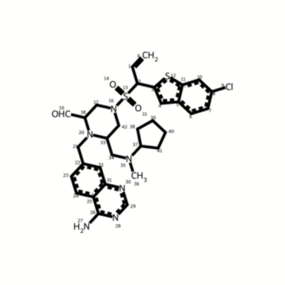 C=CC(c1cc2ccc(Cl)cc2s1)S(=O)(=O)N1CC(C=O)N(Cc2ccc3c(N)ncnc3c2)C(CN(C)C2CCCC2)C1